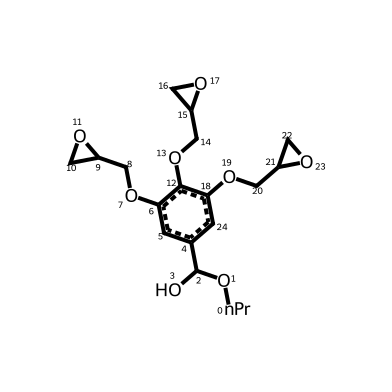 CCCOC(O)c1cc(OCC2CO2)c(OCC2CO2)c(OCC2CO2)c1